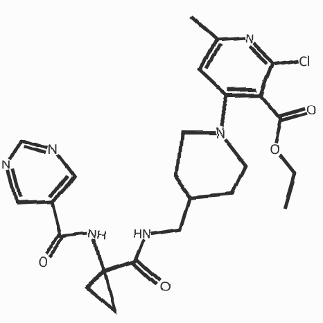 CCOC(=O)c1c(N2CCC(CNC(=O)C3(NC(=O)c4cncnc4)CC3)CC2)cc(C)nc1Cl